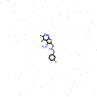 Cc1nnc2sc(CNCc3cccc(F)c3)c(N)c2c1C